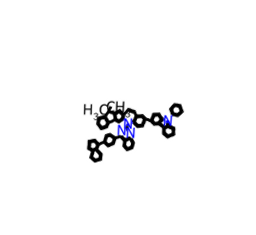 CC1(C)c2ccccc2-c2cc3c(cc21)C=Cc1cc(-c2ccc4c(c2)c2ccccc2n4-c2ccccc2)ccc1N3c1nc(-c2ccc(-c3cccc4ccccc34)cc2)c2ccccc2n1